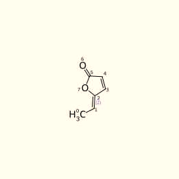 C/C=C1/C=CC(=O)O1